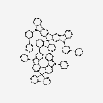 c1ccc(-c2cccc(-n3c4ccccc4c4cc5c(cc43)C3(c4cc6c(cc4-5)c4ccccc4n6-c4cccc(-c5ccccc5)c4)c4ccccc4-c4c(-c5ccc6c7c8c(ccc7n(-c7ccccc7)c6c5)C5(c6ccccc6-c6ccccc65)c5ccc6c(c5-8)c5ccccc5n6-c5ccccc5)cccc43)c2)cc1